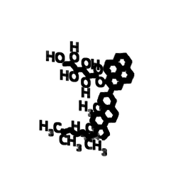 CC(C)CCC[C@@H](C)[C@H]1CCC2C3CC=C4CC(c5cc6ccc7cccc8ccc(c5OC(=O)C(O)C(O)C(O)C(O)CO)c6c78)CC[C@]4(C)C3CC[C@@]21C